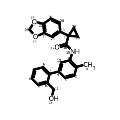 Cc1ccc(-c2ccccc2CO)cc1NC(=O)C1(c2ccc3c(c2)OCO3)CC1